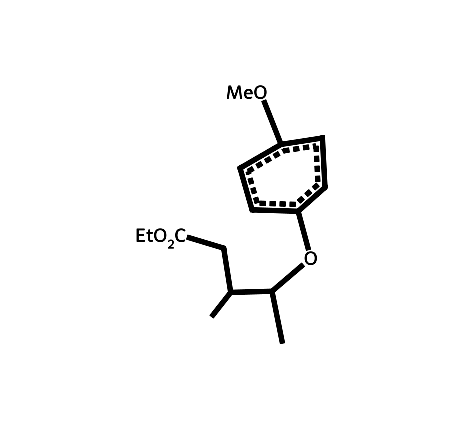 CCOC(=O)CC(C)C(C)Oc1ccc(OC)cc1